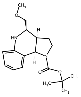 COC[C@@H]1Nc2ccccc2[C@H]2[C@@H]1CCN2C(=O)OC(C)(C)C